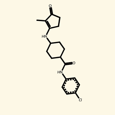 CC1=C(NC2CCC(C(=O)Nc3ccc(Cl)cc3)CC2)CCC1=O